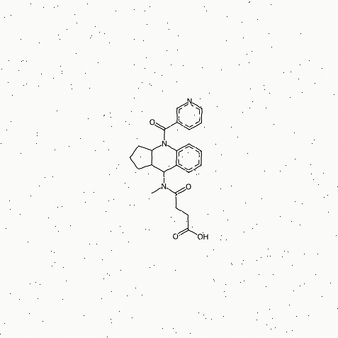 CN(C(=O)CCC(=O)O)C1c2ccccc2N(C(=O)c2cccnc2)C2CCCC12